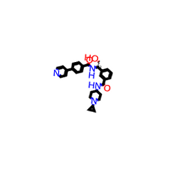 O=C(NC1CCN(C2CC2)CC1)c1cccc([C@@H](CO)NC(=O)c2ccc(-c3ccncc3)cc2)c1